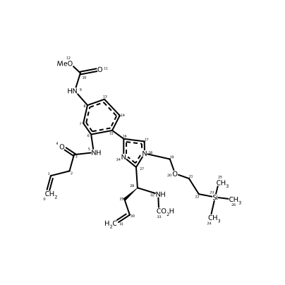 C=CCC(=O)Nc1cc(NC(=O)OC)ccc1-c1cn(COCC[Si](C)(C)C)c([C@H](CC=C)NC(=O)O)n1